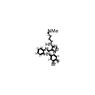 CNSCCCNc1nonc1C(=Nc1ccccc1)Nc1ccc(F)c(Br)c1